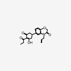 C=CCN1C(=O)COc2ccc(C3CC(=O)C(C(=O)CC)=C(O)C3)cc21